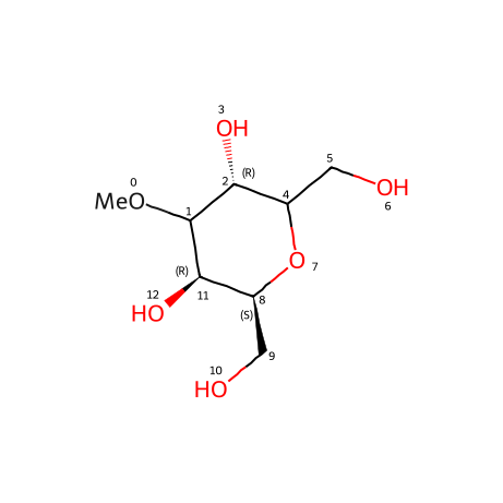 COC1[C@H](O)C(CO)O[C@@H](CO)[C@H]1O